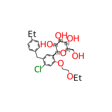 CCOCCOc1cc(Cl)c(Cc2ccc(CC)cc2)cc1[C@@H]1O[C@H](CO)[C@@H](O)[C@H](O)[C@H]1O